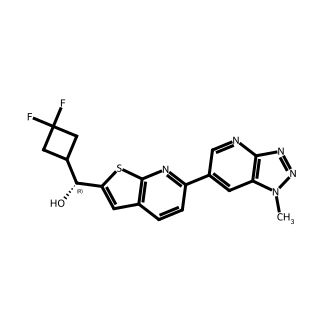 Cn1nnc2ncc(-c3ccc4cc([C@H](O)C5CC(F)(F)C5)sc4n3)cc21